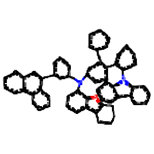 C1=Cc2c(oc3c(N(c4cccc(-c5cc6ccccc6c6ccccc56)c4)c4ccc(-c5ccccc5-n5c6ccccc6c6ccccc65)c(-c5ccccc5)c4)cccc23)CC1